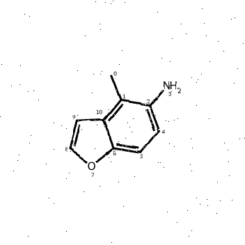 Cc1c(N)ccc2occc12